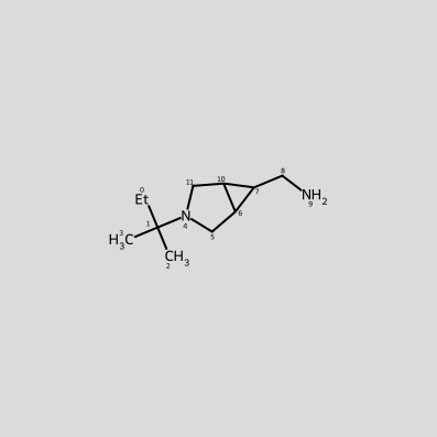 CCC(C)(C)N1CC2C(CN)C2C1